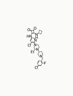 CC[C@H]1CN(c2ncc(Nc3c(NC4CCC4)c(=O)c3=O)cc2Cl)CCN1C1CCN(Cc2ccc(Cl)cc2F)CC1